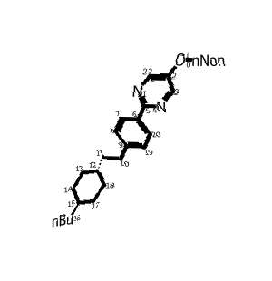 CCCCCCCCCOc1cnc(-c2ccc(CC[C@H]3CC[C@H](CCCC)CC3)cc2)nc1